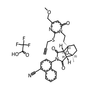 C#CCSc1nc(COC)cc(=O)n1CC[C@]12CC[C@](C)(O1)[C@@H]1C(=O)N(c3ccc(C#N)c4ccccc34)C(=O)[C@@H]12.O=C(O)C(F)(F)F